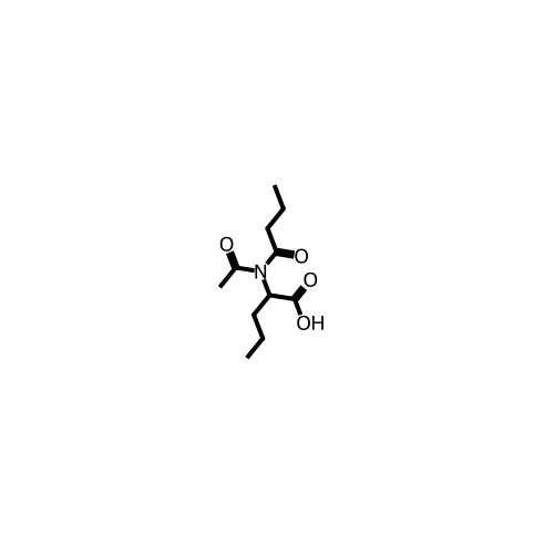 CCCC(=O)N(C(C)=O)C(CCC)C(=O)O